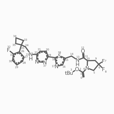 C=C(OC(C)(C)C)N1CC(F)(F)CC1C(=O)NCc1cnc(-c2ccc(NCC3(c4ccccc4F)CCC3)nn2)s1